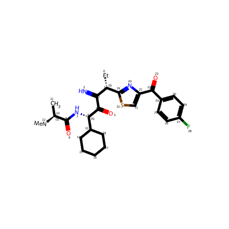 CC[C@@H](C(=N)C(=O)[C@@H](NC(=O)[C@H](C)NC)C1CCCCC1)c1nc(C(=O)c2ccc(F)cc2)cs1